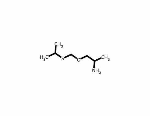 CC(N)COCSC(C)C